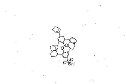 O=C(Oc1c(C2CCCCC2)cc(S(=O)(=O)O)cc1C1CCCCC1)c1c(C2CC3CCC2C3)cc(C2CC3CCC2C3)cc1C1CC2CCC1C2